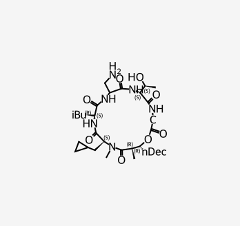 CCCCCCCCCC[C@H]1OC(=O)CNC(=O)[C@H]([C@H](C)O)NC(=O)C(CN)NC(=O)[C@H]([C@H](C)CC)NC(=O)[C@H](CC2CC2)N(C)C(=O)[C@@H]1C